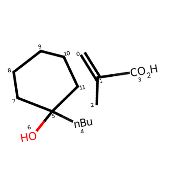 C=C(C)C(=O)O.CCCCC1(O)CCCCC1